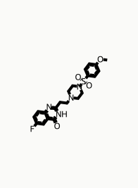 COc1ccc(S(=O)(=O)N2CCN(CCc3nc4ccc(F)cc4c(=O)[nH]3)CC2)cc1